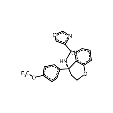 O=C(N[C@]1(c2ccc(OC(F)(F)F)cc2)CCOc2cccnc21)c1cocn1